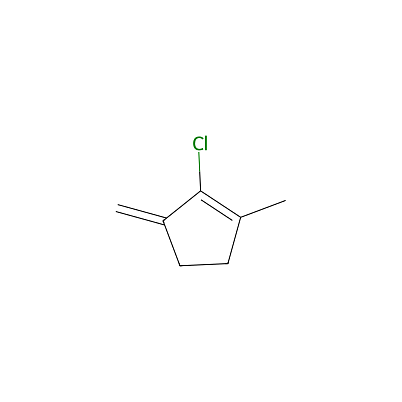 C=C1CCC(C)=C1Cl